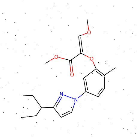 CCC(CC)c1ccn(-c2ccc(C)c(O/C(=C\OC)C(=O)OC)c2)n1